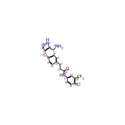 NCc1[nH]ncc1Oc1ccc(CCC(=O)Nc2ccc(Cl)c(C(F)(F)F)c2)cc1